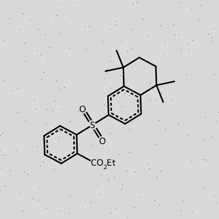 CCOC(=O)c1ccccc1S(=O)(=O)c1ccc2c(c1)C(C)(C)CCC2(C)C